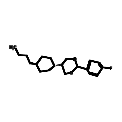 CCCC[C@H]1CC[C@H](C2COC(c3ccc(F)cc3)OC2)CC1